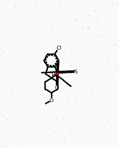 COC1CCC2(CC1)Cc1ccc(Cl)cc1C21NC(=S)N(C)C1=O